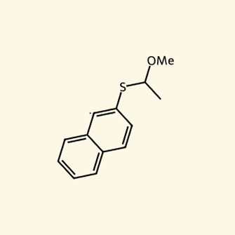 COC(C)Sc1[c]c2ccccc2cc1